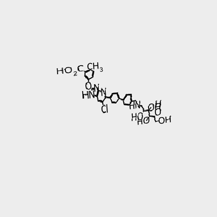 Cc1ccc(Oc2nc3nc(-c4ccc(-c5ccc(CNC[C@H](O)[C@@H](O)[C@H](O)[C@H](O)CO)cc5)cc4)c(Cl)cc3[nH]2)cc1C(=O)O